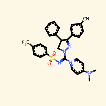 CN(C)c1cc[n+](/C(=N/S(=O)(=O)c2ccc(C(F)(F)F)cc2)N2CC(c3ccccc3)C(c3ccc(C#N)cc3)=N2)cc1